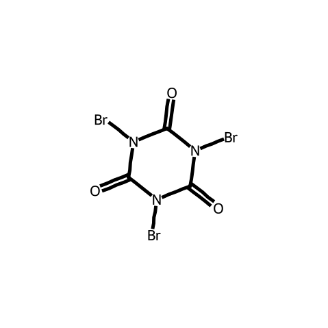 O=c1n(Br)c(=O)n(Br)c(=O)n1Br